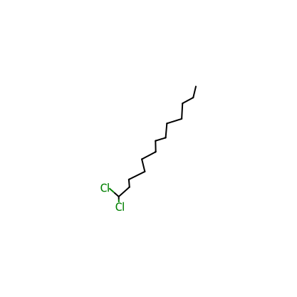 CCCCCCCCCCCCC(Cl)Cl